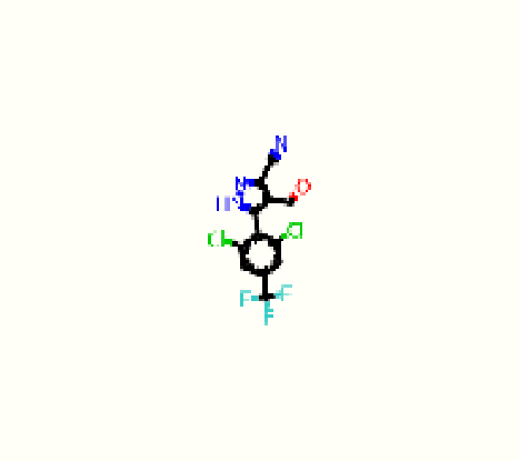 N#Cc1n[nH]c(-c2c(Cl)cc(C(F)(F)F)cc2Cl)c1C=O